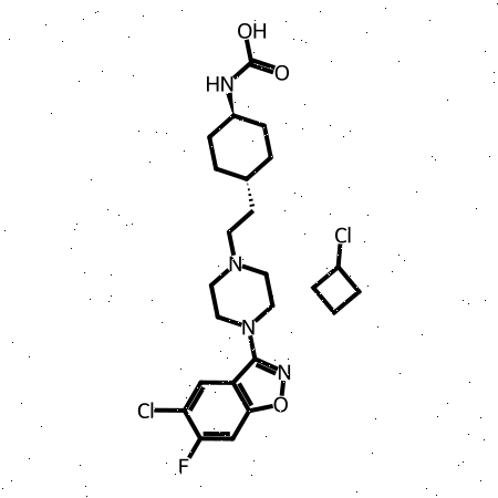 ClC1CCC1.O=C(O)N[C@H]1CC[C@H](CCN2CCN(c3noc4cc(F)c(Cl)cc34)CC2)CC1